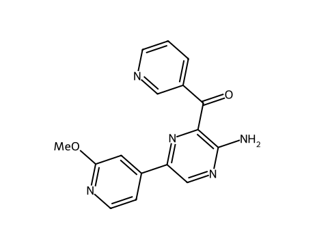 COc1cc(-c2cnc(N)c(C(=O)c3cccnc3)n2)ccn1